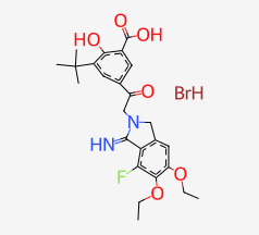 Br.CCOc1cc2c(c(F)c1OCC)C(=N)N(CC(=O)c1cc(C(=O)O)c(O)c(C(C)(C)C)c1)C2